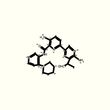 CC(C=O)c1nc(-c2ccc(N)c(C(=O)Nc3cnccc3N3CCCCC3)n2)cnc1N